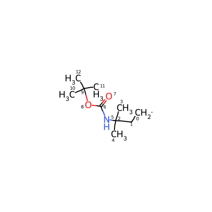 [CH2]CC(C)(C)NC(=O)OC(C)(C)C